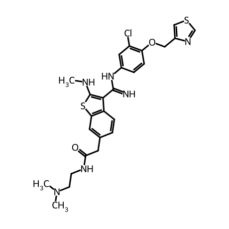 CNc1sc2cc(CC(=O)NCCN(C)C)ccc2c1C(=N)Nc1ccc(OCc2cscn2)c(Cl)c1